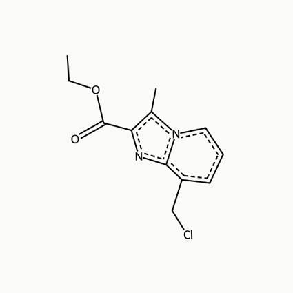 CCOC(=O)c1nc2c(CCl)cccn2c1C